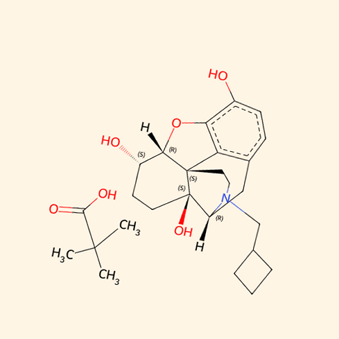 CC(C)(C)C(=O)O.Oc1ccc2c3c1O[C@H]1[C@@H](O)CC[C@@]4(O)[C@@H](C2)N(CC2CCC2)CC[C@]314